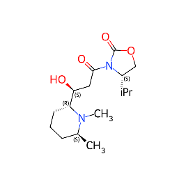 CC(C)[C@H]1COC(=O)N1C(=O)C[C@H](O)[C@H]1CCC[C@H](C)N1C